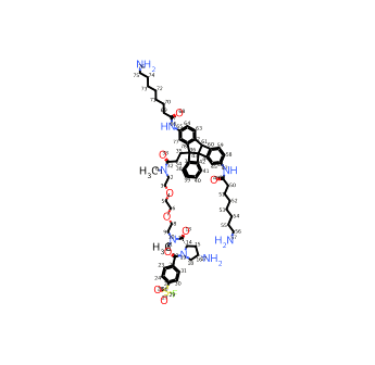 CN(CCOCCOCCN(C)C(=O)[C@@H]1C[C@H](N)CN1C(=O)c1ccc(S(=O)(=O)F)cc1)C(=O)CCC12c3c#cccc3C13c1cc(NC(=O)CCCCCCCN)ccc1C3c1ccc(NC(=O)CCCCCCCN)cc12